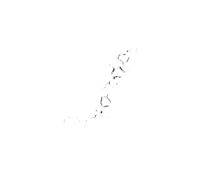 Cc1cc(OCC(C)Cc2ccc(C(=O)NCCC(=O)O)cc2)cc(C)c1-c1ccc(C(C)C)cc1